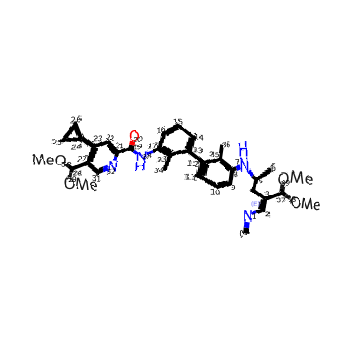 C=N/C=C(\CC(C)Nc1cccc(-c2cccc(NC(=O)c3cc(C4CC4)c(C(OC)OC)cn3)c2C)c1C)C(OC)OC